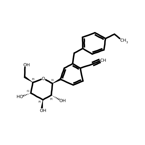 C#Cc1ccc([C@@H]2O[C@H](CO)[C@@H](O)[C@H](O)[C@H]2O)cc1Cc1ccc(CC)cc1